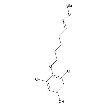 CC(C)(C)O/N=C/CCCCOc1c(Cl)cc(O)cc1Cl